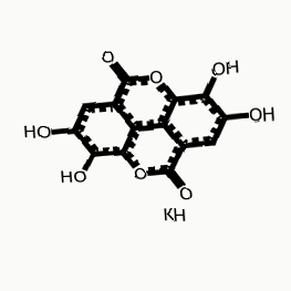 O=c1oc2c(O)c(O)cc3c(=O)oc4c(O)c(O)cc1c4c23.[KH]